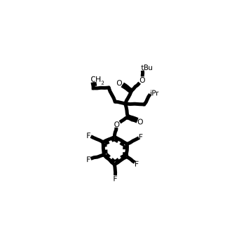 C=CCCC(CC(C)C)(C(=O)Oc1c(F)c(F)c(F)c(F)c1F)C(=O)OC(C)(C)C